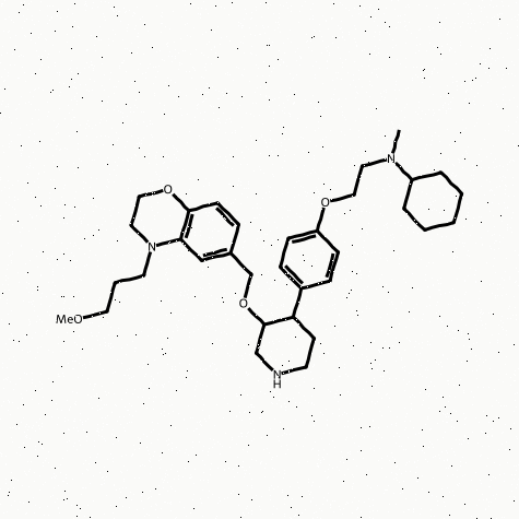 COCCCN1CCOc2ccc(COC3CNCCC3c3ccc(OCCN(C)C4CCCCC4)cc3)cc21